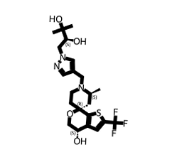 C[C@H]1C[C@@]2(CCN1Cc1cnn(C[C@H](O)C(C)(C)O)c1)OC[C@@H](O)c1cc(C(F)(F)F)sc12